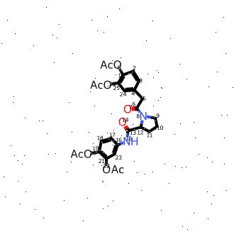 CC(=O)Oc1ccc(CC(=O)N2CCCC2C(=O)Nc2ccc(OC(C)=O)c(OC(C)=O)c2)cc1OC(C)=O